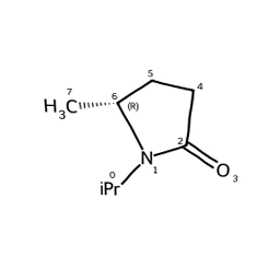 CC(C)N1C(=O)CC[C@H]1C